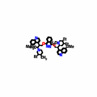 CCC1CN(C(C)C(COc2nnc(OC[C@H](c3ccnc4ccc(OC)cc34)[C@@H]3CC(CC)C(CC)CN3C)c3ccccc23)c2ccnc3ccc(OC)cc23)CCC1C